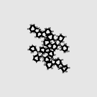 c1ccc(B2c3ccccc3B(c3ccccc3)c3c2ccc2c3-c3cc(-n4c5ccccc5c5c6sc7ccccc7c6ccc54)ccc3C23c2ccc(-n4c5ccccc5c5c6sc7ccccc7c6ccc54)cc2-c2c3ccc3c2B(c2ccccc2)c2ccccc2B3c2ccccc2)cc1